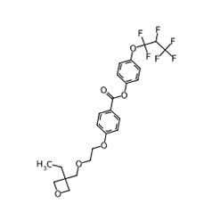 CCC1(COCCOc2ccc(C(=O)Oc3ccc(OC(F)(F)C(F)C(F)(F)F)cc3)cc2)COC1